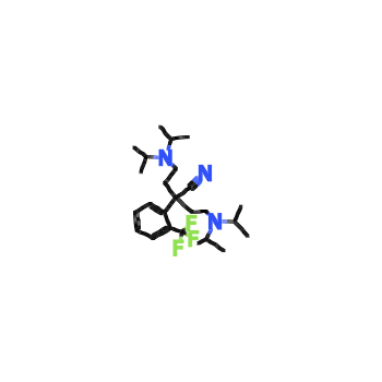 CC(C)N(CCC(C#N)(CCN(C(C)C)C(C)C)c1ccccc1C(F)(F)F)C(C)C